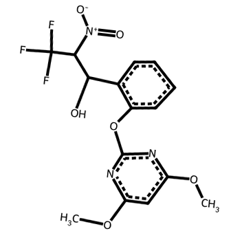 COc1cc(OC)nc(Oc2ccccc2C(O)C([N+](=O)[O-])C(F)(F)F)n1